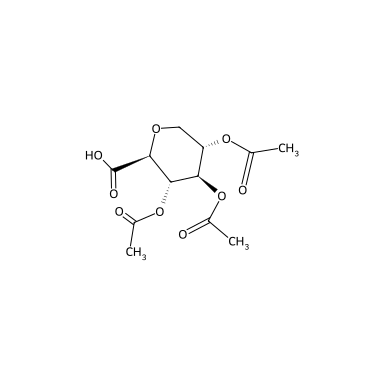 CC(=O)O[C@H]1[C@H](OC(C)=O)[C@@H](C(=O)O)OC[C@@H]1OC(C)=O